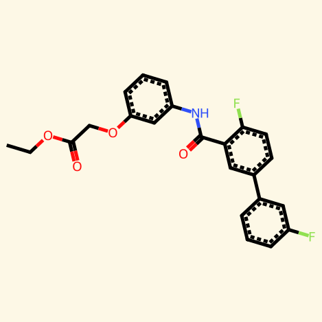 CCOC(=O)COc1cccc(NC(=O)c2cc(-c3cccc(F)c3)ccc2F)c1